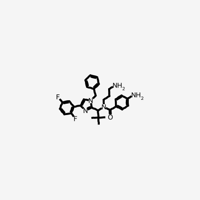 CC(C)(C)C(c1nc(-c2cc(F)ccc2F)cn1Cc1ccccc1)N(CCCN)C(=O)c1ccc(N)cc1